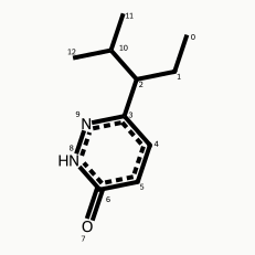 CCC(c1ccc(=O)[nH]n1)C(C)C